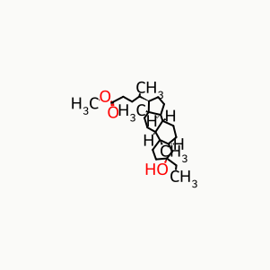 CC[C@]1(O)CC[C@@]2(C)[C@@H](CC[C@@H]3[C@@H]2CC[C@]2(C)[C@@H](C(C)CCC(=O)OC)CC[C@@H]32)C1